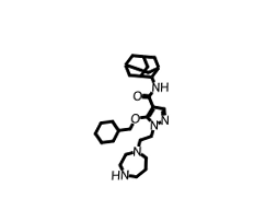 O=C(NC1C2CC3CC(C2)CC1C3)c1cnn(CCN2CCCNCC2)c1OCC1CCCCC1